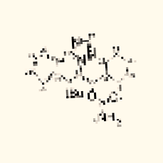 CC(C)(C)C(C(=C(OC(N)=O)C1CCCCC1)n1cncn1)c1ccccc1